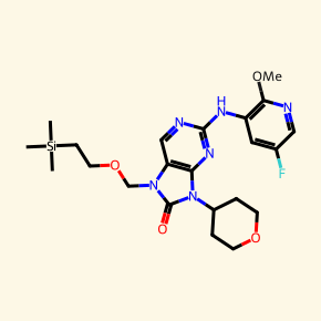 COc1ncc(F)cc1Nc1ncc2c(n1)n(C1CCOCC1)c(=O)n2COCC[Si](C)(C)C